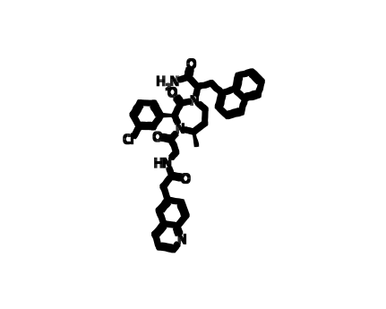 C[C@@H]1CCN(C(Cc2cccc3ccccc23)C(N)=O)C(=O)[C@H](c2cccc(Cl)c2)N1C(=O)CNC(=O)Cc1ccc2ncccc2c1